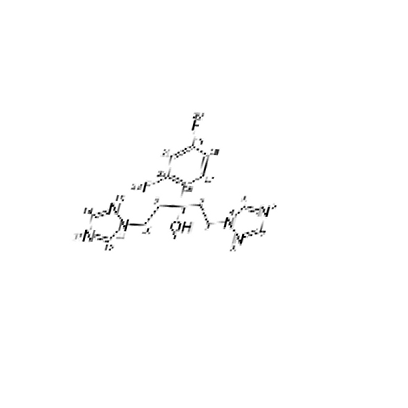 OC(CCn1cncn1)(CCn1cncn1)c1ccc(F)cc1F